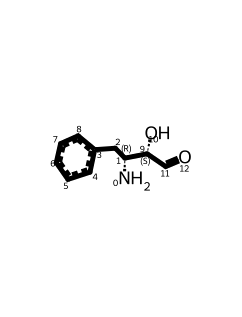 N[C@H](Cc1ccccc1)[C@H](O)C=O